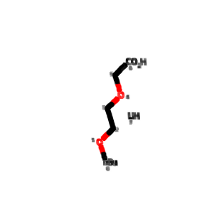 CCCCOCCOCC(=O)O.[LiH]